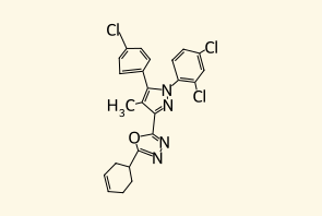 Cc1c(-c2nnc(C3CC=CCC3)o2)nn(-c2ccc(Cl)cc2Cl)c1-c1ccc(Cl)cc1